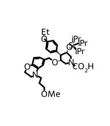 CCOc1ccc([C@@H]2[C@@H](OCc3ccc4c(c3)N(CCCOC)CCO4)CN(C(=O)O)C[C@H]2O[Si](C(C)C)(C(C)C)C(C)C)cc1